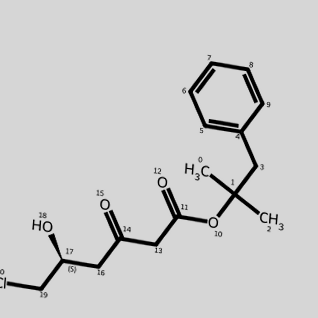 CC(C)(Cc1ccccc1)OC(=O)CC(=O)C[C@H](O)CCl